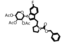 CC(=O)O[C@@H]1[C@@H](OC(C)=O)[C@H](OC(C)=O)CO[C@H]1n1cc(CC2CCCN2C(=O)OCc2ccccc2)c2ccc(F)cc21